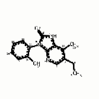 CCc1cnc2c([nH]c(=O)n2-c2ccccc2O)c1C